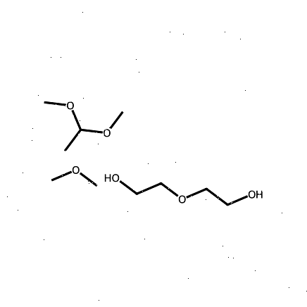 COC.COC(C)OC.OCCOCCO